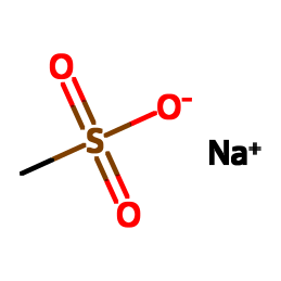 CS(=O)(=O)[O-].[Na+]